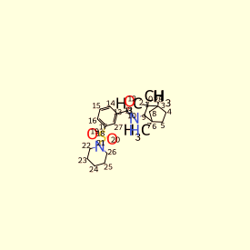 CC1(C)[C@@H]2CC[C@](C)(C2)[C@@H]1NC(=O)c1cccc(S(=O)(=O)N2CCCCC2)c1